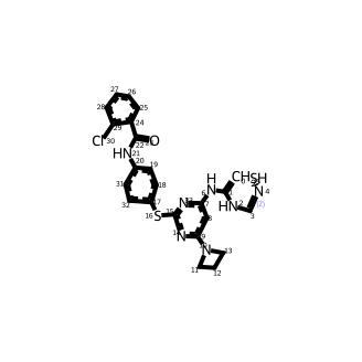 C=C(N/C=N\S)Nc1cc(N2CCC2)nc(Sc2ccc(NC(=O)c3ccccc3Cl)cc2)n1